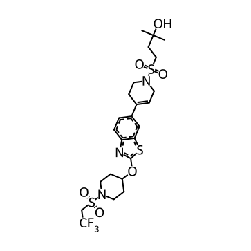 CC(C)(O)CCS(=O)(=O)N1CC=C(c2ccc3nc(OC4CCN(S(=O)(=O)CC(F)(F)F)CC4)sc3c2)CC1